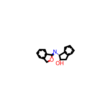 O[C@@H]1Cc2ccccc2[C@H]1N=C1OCc2ccccc21